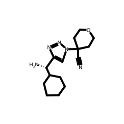 N#CC1(n2cc([C@@H](N)C3CCCCC3)nn2)CCOCC1